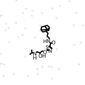 CC(C)NCC(O)COc1ncc(C(=O)NCCCC23CC4CC(CC(C4)C2)C3)s1